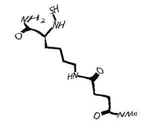 CNC(=O)CCC(=O)NCCCC[C@H](NS)C(N)=O